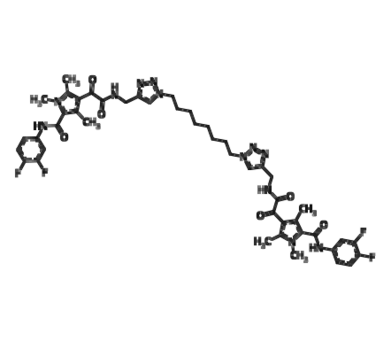 Cc1c(C(=O)C(=O)NCc2cn(CCCCCCCCn3cc(CNC(=O)C(=O)c4c(C)c(C(=O)Nc5ccc(F)c(F)c5)n(C)c4C)nn3)nn2)c(C)n(C)c1C(=O)Nc1ccc(F)c(F)c1